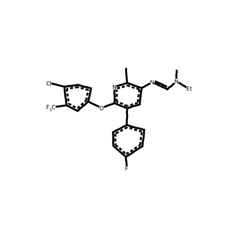 CCN(C)/C=N/c1cc(-c2ccc(F)cc2)c(Oc2ccc(Cl)c(C(F)(F)F)c2)nc1C